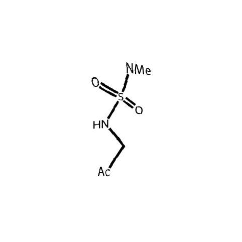 CNS(=O)(=O)NCC(C)=O